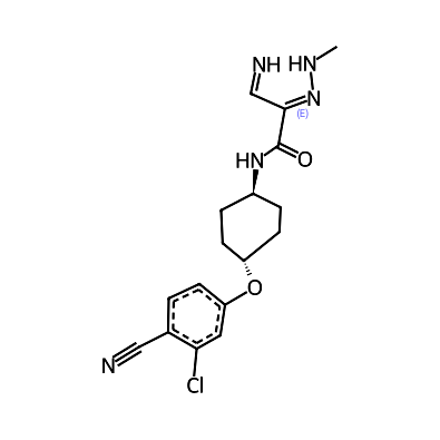 CN/N=C(\C=N)C(=O)N[C@H]1CC[C@H](Oc2ccc(C#N)c(Cl)c2)CC1